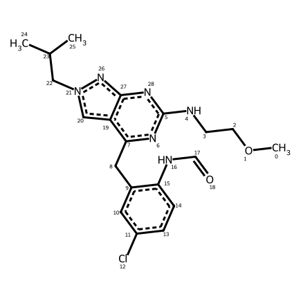 COCCNc1nc(Cc2cc(Cl)ccc2NC=O)c2cn(CC(C)C)nc2n1